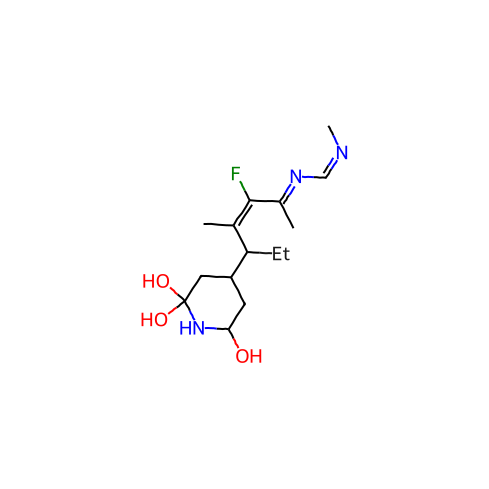 CCC(\C(C)=C(F)/C(C)=N/C=N\C)C1CC(O)NC(O)(O)C1